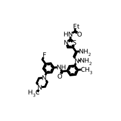 CCC(=O)Nc1ncc(/C(N)=C/N(N)c2cc(C(=O)Nc3cc(CF)cc(N4CCN(C)CC4)c3)ccc2C)s1